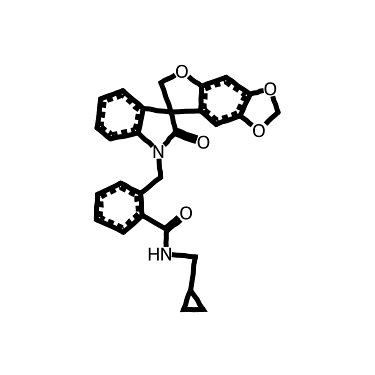 O=C(NCC1CC1)c1ccccc1CN1C(=O)C2(COc3cc4c(cc32)OCO4)c2ccccc21